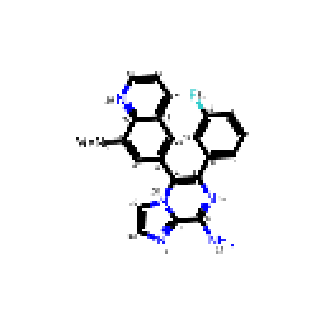 CNc1cc(-c2c(-c3cccc(F)c3)nc(N)c3nccn23)cc2cccnc12